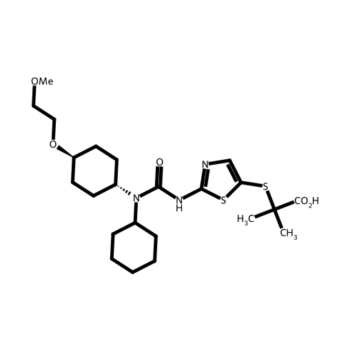 COCCO[C@H]1CC[C@H](N(C(=O)Nc2ncc(SC(C)(C)C(=O)O)s2)C2CCCCC2)CC1